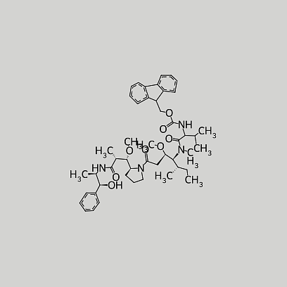 CC[C@H](C)[C@@H]([C@@H](CC(=O)N1CCC[C@H]1[C@@H](OC)[C@@H](C)C(=O)N[C@H](C)[C@@H](O)c1ccccc1)OC)N(C)C(=O)C(NC(=O)OCC1c2ccccc2-c2ccccc21)C(C)C